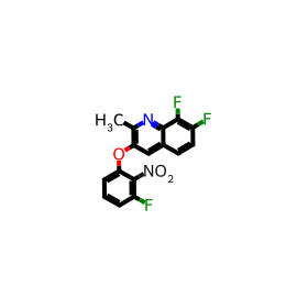 Cc1nc2c(F)c(F)ccc2cc1Oc1cccc(F)c1[N+](=O)[O-]